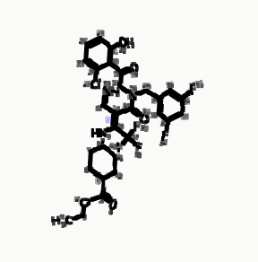 CCOC(=O)[C@H]1CC[C@H](N/C(=C(\C=N)C(=O)N(CC(=O)c2c(O)cccc2Cl)Cc2cc(F)cc(F)c2)C(F)(F)F)CC1